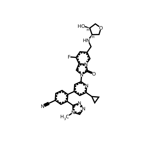 Cn1cnnc1-c1cc(C#N)ccc1-c1cc(C2CC2)nc(-n2cc3c(F)cc(CN[C@@H]4COC[C@@H]4O)cn3c2=O)c1